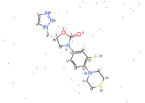 O=C1O[C@@H](Cn2ccnn2)CN1c1ccc(N2CCSCC2)c(F)c1